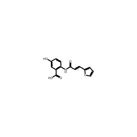 O=C(/C=C/c1ccco1)Nc1ccc(O)cc1C(=O)O